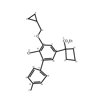 CCOC(=O)C1(c2cc(OCC3CC3)c(Cl)c(-c3ccc(C)cc3)c2)CCC1